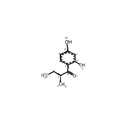 CC[C@H](C)C(=O)c1ccc(O)cc1O